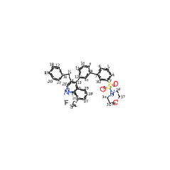 O=S(=O)(c1cccc(-c2cccc(-c3c(Cc4ccccc4)cnc4c(C(F)(F)F)cccc34)c2)c1)N1CCOCC1